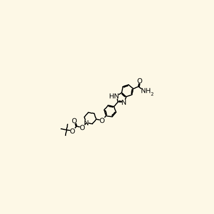 CC(C)(C)OC(=O)ON1CCCC(Oc2ccc(-c3nc4cc(C(N)=O)ccc4[nH]3)cc2)C1